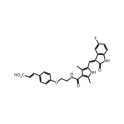 Cc1[nH]c(/C=C2\C(=O)Nc3ccc(F)cc32)c(C)c1C(=O)NCCOc1ccc(/C=C/C(=O)O)cc1